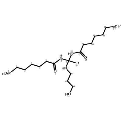 CCCCCCCCCCCCCCCC(=O)NC(CC)(NCCCO)NC(=O)CCCCCCCCCCCCCCC